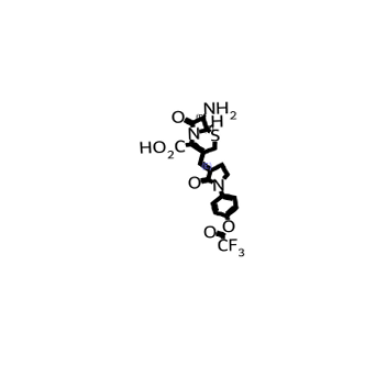 N[C@@H]1C(=O)N2C(C(=O)O)=C(/C=C3\CCN(c4ccc(OC(=O)C(F)(F)F)cc4)C3=O)CS[C@H]12